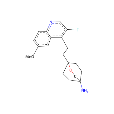 COc1ccc2ncc(F)c(CCC34CCC(N)(CC3)CO4)c2c1